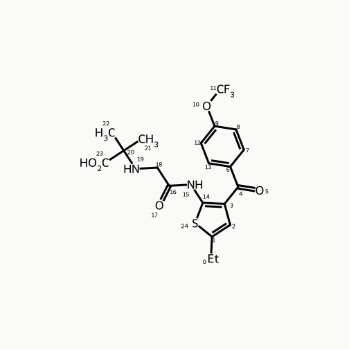 CCc1cc(C(=O)c2ccc(OC(F)(F)F)cc2)c(NC(=O)CNC(C)(C)C(=O)O)s1